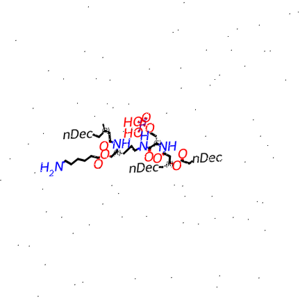 CCCCCCCCCCCC(=O)O[C@H](CCCCCCCCCCC)CC(=O)N[C@@H](CCOP(=O)(O)O)C(=O)NCCC[C@H](COC(=O)CCCCCN)NC(=O)C[C@H](C)CCCCCCCCCCC